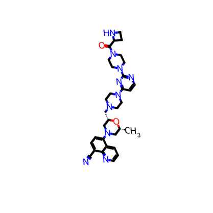 C[C@@H]1CN(c2ccc(C#N)c3ncccc23)C[C@H](CN2CCN(c3ccnc(N4CCN(C(=O)C5CCN5)CC4)n3)CC2)O1